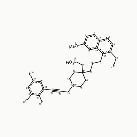 COc1ccc2ncc(CF)c(CCCC3(CC(=O)O)CCN(CC#Cc4cc(F)cc(F)c4F)CC3)c2c1